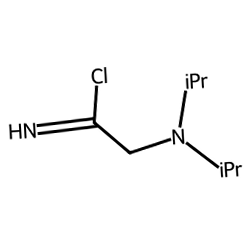 CC(C)N(CC(=N)Cl)C(C)C